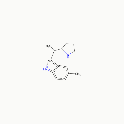 Cc1ccc2[nH]cc(C(C)C3CCCN3)c2c1